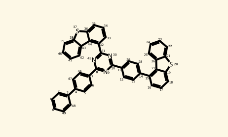 c1ccc(-c2ccc(-c3nc(-c4ccc(-c5cccc6sc7ccccc7c56)cc4)nc(-c4cccc5sc6ccccc6c45)n3)cc2)cc1